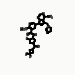 COc1ncc(-c2cc(Cn3ccnc3)c3c(N)ncnn23)cc1C(=O)NC1CN(C(=O)C2CC(F)(F)C2)CC1F